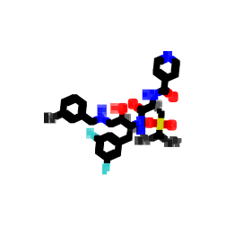 CCCC(CCC)S(=O)(=O)C[C@@H](NC(=O)c1ccncc1)C(=O)N[C@@H](Cc1cc(F)cc(F)c1)[C@H](O)CNCc1cccc(CC)c1